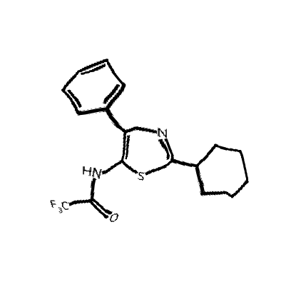 O=C(Nc1sc(C2CCCCC2)nc1-c1ccccc1)C(F)(F)F